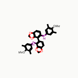 COc1c(C)cc(Pc2ccc3c(c2-c2ccc4c(c2Pc2cc(C)c(OC)c(C)c2)OCO4)OCO3)cc1C